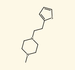 CN1CCN(CCc2cccs2)CC1